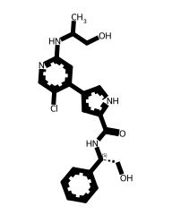 CC(CO)Nc1cc(-c2c[nH]c(C(=O)N[C@H](CO)c3ccccc3)c2)c(Cl)cn1